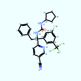 N#Cc1ccc([C@](Cc2ccccc2)(NC(=O)NC2CCCC2)c2cc(F)cc(C(F)(F)F)c2)nc1